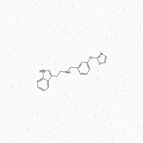 c1cc(CNCCc2c[nH]c3ccccc23)cc(Oc2nccs2)c1